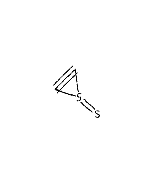 S=S1C#C1